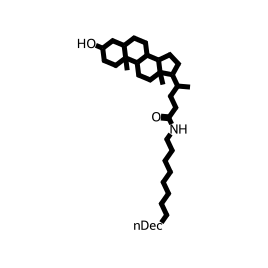 CCCCCCCCCCCCCCCCCCNC(=O)CCC(C)C1CCC2C3CCC4CC(O)CCC4(C)C3CCC12C